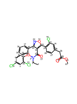 CCN(Oc1ccc(Cl)cc1Cl)C(=O)c1c(-c2ccccc2)noc1-c1ccc(CC(=O)OC)cc1Cl